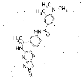 CCn1cc2ncc(N[C@@H](C)c3cccc(NC(=O)c4ccc(N(C)C)c(C)c4)c3)nc2n1